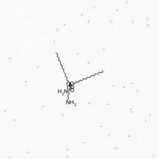 CCCCCCCCCCCCCCCCOP(=O)(OCCCCCCCCCCCCCCCC)OC(=O)[C@@H](N)CCCCN